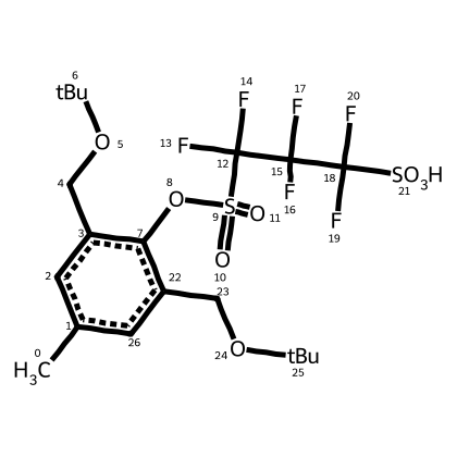 Cc1cc(COC(C)(C)C)c(OS(=O)(=O)C(F)(F)C(F)(F)C(F)(F)S(=O)(=O)O)c(COC(C)(C)C)c1